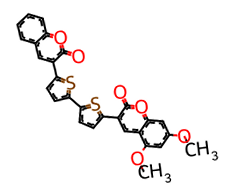 COc1cc(OC)c2cc(-c3ccc(-c4ccc(-c5cc6ccccc6oc5=O)s4)s3)c(=O)oc2c1